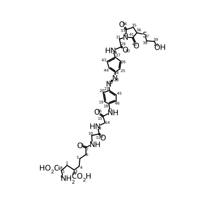 N[C@@H](C[C@@H](CCCC(=O)NCC(=O)NCC(=O)Nc1ccc(/N=N/c2ccc(NC(=O)CN3C(=O)CC(SCCO)C3=O)cc2)cc1)C(=O)O)C(=O)O